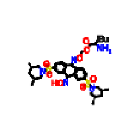 CCC(C)C(N)C(=O)OCON=C1c2ccc(S(=O)(=O)N3C[C@H](C)C[C@H](C)C3)cc2C(=NO)c2cc(S(=O)(=O)N3C[C@H](C)C[C@H](C)C3)ccc21